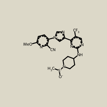 COc1ccc(-n2cnc(-c3nc(NC4CCN([S+](C)[O-])CC4)ncc3C(F)(F)F)c2)c(C#N)n1